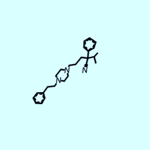 CC(C)C(C#N)(CCCN1CCN(CCc2ccccc2)CC1)c1ccccc1